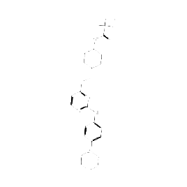 CC(F)(F)C(=O)N[C@H]1CC[C@H](COc2ccnc(Nc3ccc(N4CCOCC4)cc3)n2)CC1